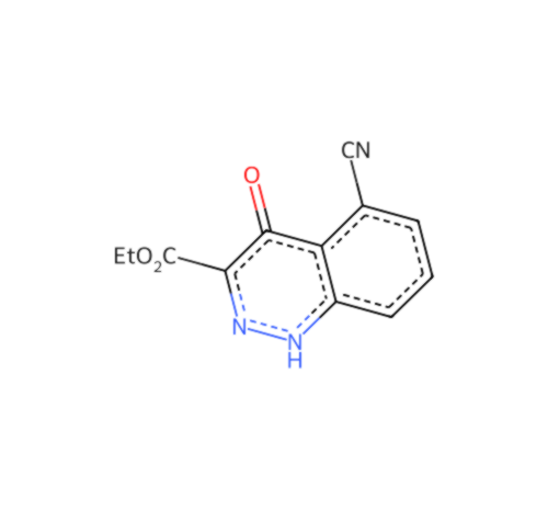 CCOC(=O)c1n[nH]c2cccc(C#N)c2c1=O